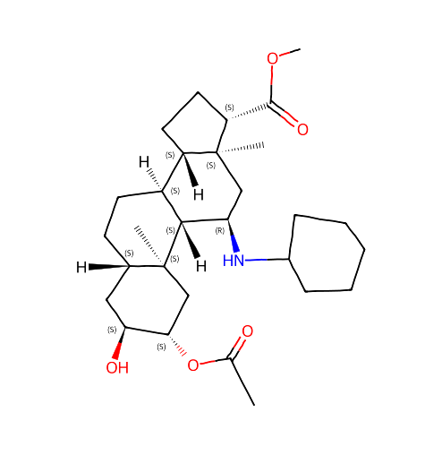 COC(=O)[C@H]1CC[C@H]2[C@@H]3CC[C@H]4C[C@H](O)[C@@H](OC(C)=O)C[C@]4(C)[C@H]3[C@H](NC3CCCCC3)C[C@]12C